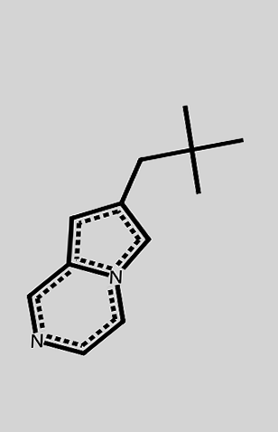 CC(C)(C)Cc1cc2cnccn2c1